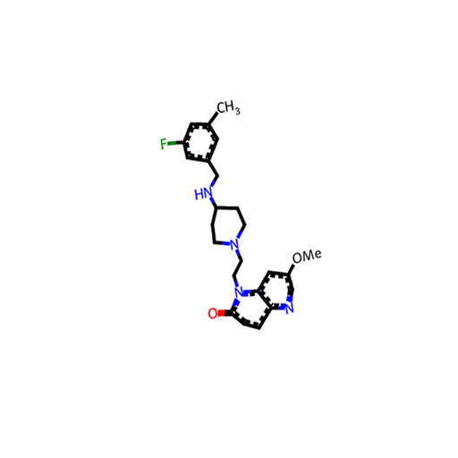 COc1cnc2ccc(=O)n(CCN3CCC(NCc4cc(C)cc(F)c4)CC3)c2c1